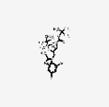 Cc1nc2cc(F)cc(Br)c2n1CC(CNC(=O)OC(C)(C)C)O[Si](C)(C)C(C)(C)C